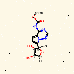 CCCCCOC(=O)Nc1ncnn2c([C@]3(C#N)O[C@H](CC)[C@@H](O)[C@H]3O)ccc12